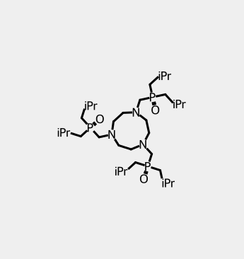 CC(C)CP(=O)(CC(C)C)CN1CCN(CP(=O)(CC(C)C)CC(C)C)CCN(CP(=O)(CC(C)C)CC(C)C)CC1